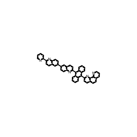 c1ccc(-c2ccc3cc(-c4ccc5nc(-c6c7ccccc7c(-c7ccc8ccc9cccnc9c8n7)c7ccccc67)ccc5c4)ccc3n2)nc1